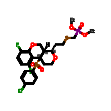 CCOP(=O)(CSCC[C@@H]1OCC[C@@]2(S(=O)(=O)c3ccc(Cl)cc3)c3c(F)ccc(F)c3OC[C@@H]12)OCC